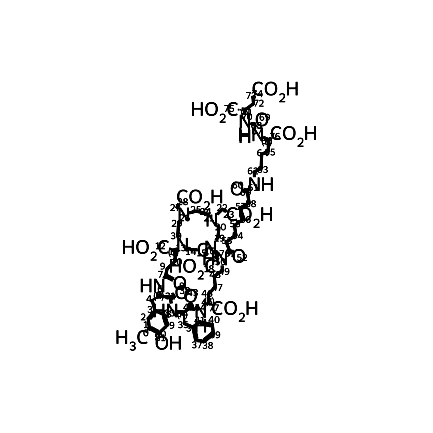 Cc1cc(C[C@@H](NC(=O)CC[C@@H](C(=O)O)N2CCN(CC(=O)O)CCN(CC(=O)O)CCN(CC(=O)O)CC2)C(=O)N[C@H](Cc2ccccc2)C(=O)N[C@H](CCCCNC(=O)CCCCCCC(=O)NCCCC[C@H](NC(=O)N[C@@H](CCC(=O)O)C(=O)O)C(=O)O)C(=O)O)ccc1O